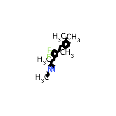 CCCn1cc(C(C)Cc2cc(C(C)Cc3cccc(C(C)C)c3)cc(F)c2F)cn1